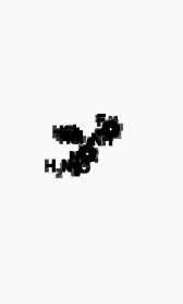 CC1Oc2ccc(CNCc3ccccc3F)cc2N=C1N.Cl.Cl.Cl